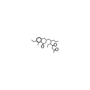 CCCC(CC1CC(=O)c2c(ccc(CC)c2C)C1)C(CC)C(=O)CC(C)=O